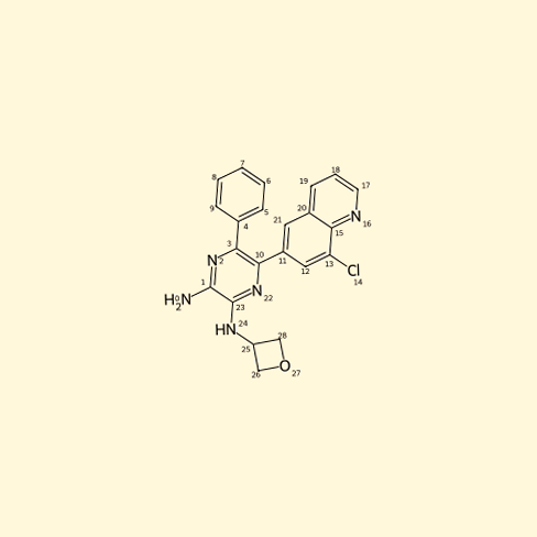 Nc1nc(-c2ccccc2)c(-c2cc(Cl)c3ncccc3c2)nc1NC1COC1